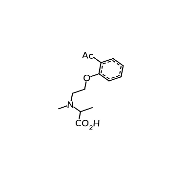 CC(=O)c1ccccc1OCCN(C)C(C)C(=O)O